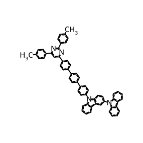 Cc1ccc(-c2cc(-c3ccc(-c4ccc(-c5ccc(-n6c7ccccc7c7cc(-n8c9ccccc9c9ccccc98)ccc76)cc5)cc4)cc3)nc(-c3ccc(C)cc3)n2)cc1